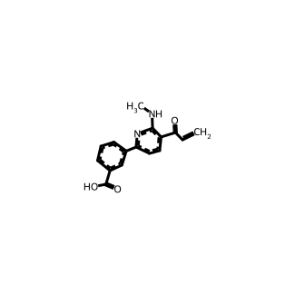 C=CC(=O)c1ccc(-c2cccc(C(=O)O)c2)nc1NC